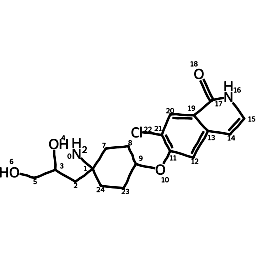 NC1(CC(O)CO)CCC(Oc2cc3cc[nH]c(=O)c3cc2Cl)CC1